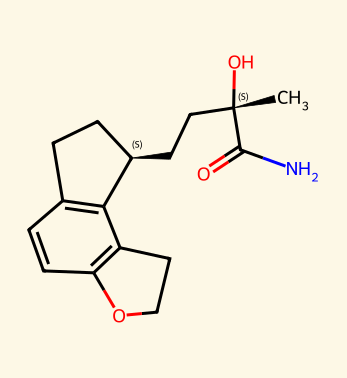 C[C@](O)(CC[C@@H]1CCc2ccc3c(c21)CCO3)C(N)=O